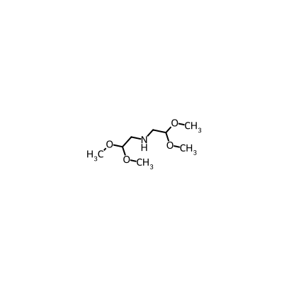 COC(CNCC(OC)OC)OC